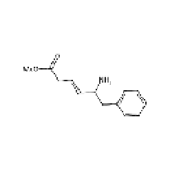 COC(=O)C/C=C/C(N)Cc1ccccc1